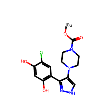 CC(C)(C)OC(=O)N1CCN(c2c[nH]nc2-c2cc(Cl)c(O)cc2O)CC1